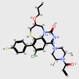 C=CC(=O)N1[C@H](C)CN(c2nc(=O)n3c4c(c(-c5ccc(F)cc5)c(Cl)cc24)SCC(OCCC)C3)C[C@@H]1C